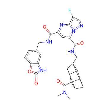 CN(C)C(=O)C12C3C4C1C1C2C3C41CNC(=O)c1cc(C(=O)NCc2ccc3oc(=O)[nH]c3c2)nc2c(F)cnn12